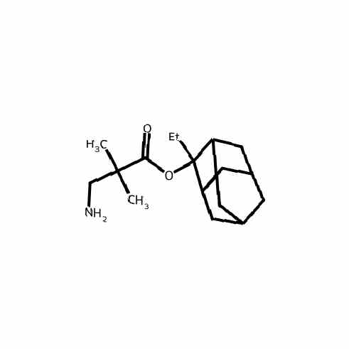 CCC1(OC(=O)C(C)(C)CN)C2CC3CC(C2)CC1C3